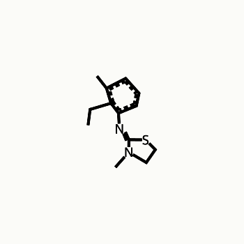 CCc1c(C)cccc1N=C1SCCN1C